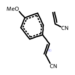 C=CC#N.COc1ccc(/C=C/C#N)cc1